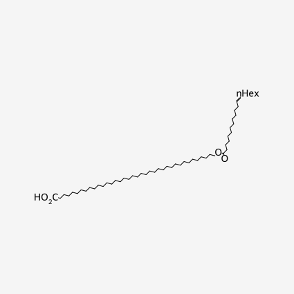 CCCCCCC=CCCCCCCCCCCCC(=O)OCCCCCCCCCCCCCCCCCCCCCCCCCCCCCCCCCCCCCC(=O)O